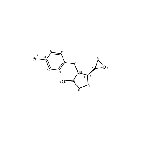 O=C1CC[C@H](C2CO2)N1Cc1ccc(Br)cc1